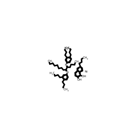 CCCCCCCCC(=Nc1ccc(CCCC)c(CCCC)c1)C(CCCC)=Nc1ccc(CCCC)c(CCCC)c1.CCCCc1ccc2c(O)c(O)ccc2c1.[Ni]